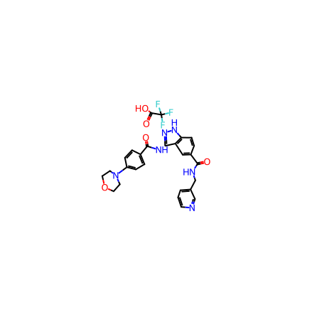 O=C(NCc1cccnc1)c1ccc2[nH]nc(NC(=O)c3ccc(N4CCOCC4)cc3)c2c1.O=C(O)C(F)(F)F